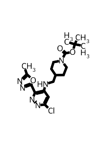 Cc1nnc(-c2nnc(Cl)cc2NCC2CCN(C(=O)OC(C)(C)C)CC2)o1